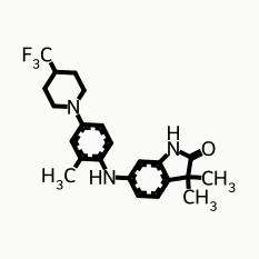 Cc1cc(N2CCC(C(F)(F)F)CC2)ccc1Nc1ccc2c(c1)NC(=O)C2(C)C